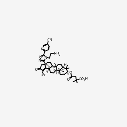 CC(C)C1=C2[C@H]3CC[C@@H]4[C@@]5(C)CC[C@H](OC(=O)CC(C)(C)C(=O)O)C(C)(C)[C@@H]5CC[C@@]4(C)[C@]3(C)CC[C@@]2(c2nnc(-c3ccc(C#N)cn3)n2CCN)CC1=O